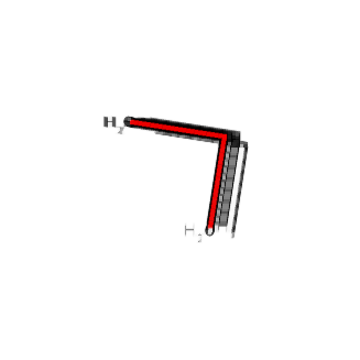 N.N.N.N.N.N.N.N.N.N.N.N.N.N.N.N.N.N.N.N.N.N.N.N.N.N.N.N.N.N.N.N.N.N.N.N.N.N.N.N.N.N.N.N.N.N.N.N.N.N.N.N.N.N.N.N.N.N.N.N.N.N.N.N.N.N.N.N.N.N.N.N.N.N.N.N.N.N.N.N.N.N.N.N.N.N.N.N.N.N.N.O.O.O.O.O